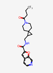 O=C(NCC1CC12CCN(C(=O)CCC(F)(F)F)CC2)c1cc2ccncc2o1